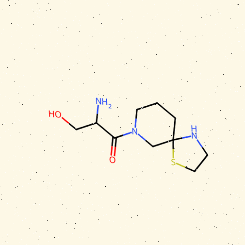 NC(CO)C(=O)N1CCCC2(C1)NCCS2